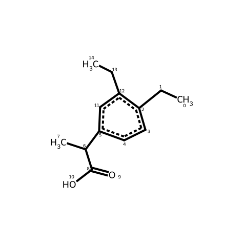 CCc1ccc(C(C)C(=O)O)cc1CC